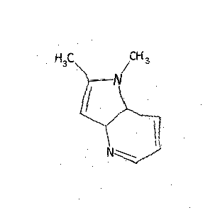 CC1=CC2N=CC=CC2N1C